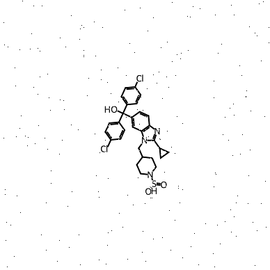 O=[SH](=O)N1CCC(Cn2c(C3CC3)nc3ccc(C(O)(c4ccc(Cl)cc4)c4ccc(Cl)cc4)cc32)CC1